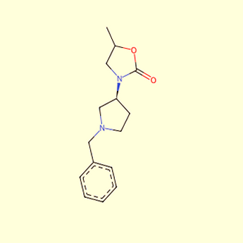 CC1CN([C@H]2CCN(Cc3ccccc3)C2)C(=O)O1